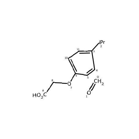 C=O.CC(C)c1ccc(OCC(=O)O)cc1